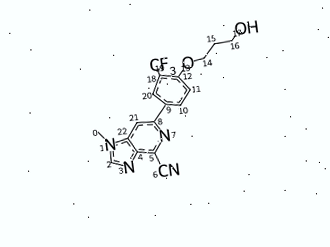 Cn1cnc2c(C#N)nc(-c3ccc(OCCCO)c(C(F)(F)F)c3)cc21